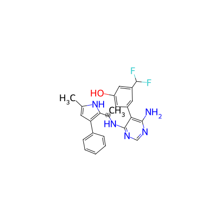 Cc1cc(-c2ccccc2)c([C@H](C)Nc2ncnc(N)c2-c2cc(O)cc(C(F)F)c2)[nH]1